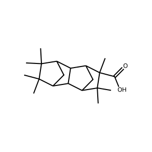 CC1(C)C2CC(C3C2C2CC3C(C)(C(=O)O)C2(C)C)C1(C)C